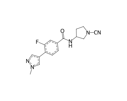 Cn1cc(-c2ccc(C(=O)NC3CCN(C#N)C3)cc2F)cn1